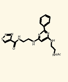 CC(=O)NCCNc1cc(NCCNC(=O)c2csnn2)nc(-c2ccccc2)n1